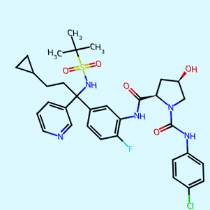 CC(C)(C)S(=O)(=O)NC(CCC1CC1)(c1cccnc1)c1ccc(F)c(NC(=O)[C@H]2C[C@@H](O)CN2C(=O)Nc2ccc(Cl)cc2)c1